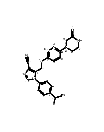 N#Cc1nnn(-c2ccc(C(F)F)cc2)c1COc1ccc(N2CCNC(=O)C2)nn1